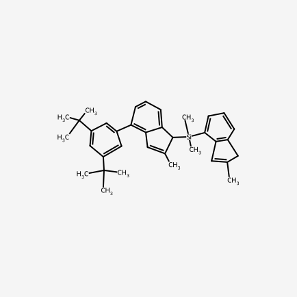 CC1=Cc2c(cccc2[Si](C)(C)C2C(C)=Cc3c(-c4cc(C(C)(C)C)cc(C(C)(C)C)c4)cccc32)C1